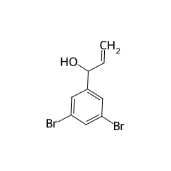 C=CC(O)c1cc(Br)cc(Br)c1